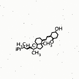 CC(C)[C@@H](C)/C=C/[C@@H](C)C1CC[C@@]2(C)/C(=C/C=C3/C[C@@H](O)CCC3=O)CCC[C@]12C